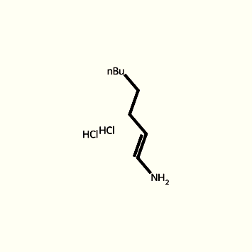 CCCCCCC=CN.Cl.Cl